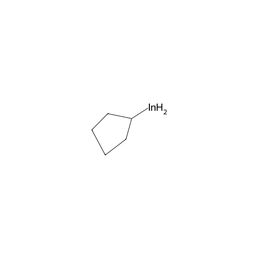 [InH2][CH]1CCCC1